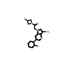 Cc1cn(CC(=O)N2CC(F)C2)c2cc(-c3ccccc3F)cnc12